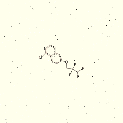 FC(F)C(F)(F)COc1cnc2c(Cl)nccc2c1